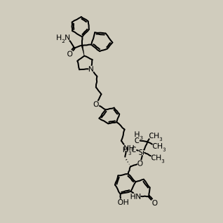 CC(C)(C)[Si](C)(C)O[C@@H](CNCCc1ccc(OCCCN2CC[C@@H](C(C(N)=O)(c3ccccc3)c3ccccc3)C2)cc1)c1ccc(O)c2[nH]c(=O)ccc12